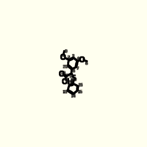 COc1cc(OC)cc(C(Sc2ccccc2)C(=O)O)c1